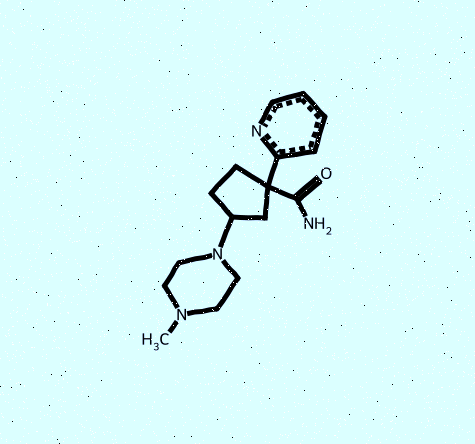 CN1CCN(C2CCC(C(N)=O)(c3ccccn3)C2)CC1